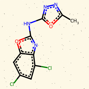 Cc1nnc(Nc2nc3c(Cl)cc(Cl)cc3o2)o1